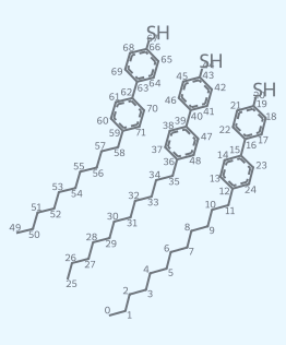 CCCCCCCCCCCCc1ccc(-c2ccc(S)cc2)cc1.CCCCCCCCCCCc1ccc(-c2ccc(S)cc2)cc1.CCCCCCCCCCc1ccc(-c2ccc(S)cc2)cc1